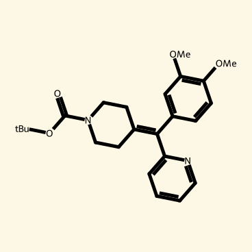 COc1ccc(C(=C2CCN(C(=O)OC(C)(C)C)CC2)c2ccccn2)cc1OC